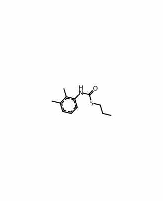 CCCSC(=O)Nc1cccc(C)c1C